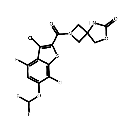 O=C1NC2(CO1)CN(C(=O)c1sc3c(Cl)c(OC(F)F)cc(F)c3c1Cl)C2